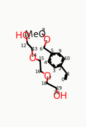 C=Cc1ccc(COOC)cc1.OCCOCCOCCO